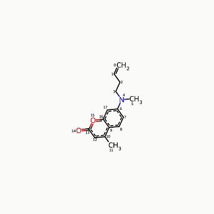 C=CCCN(C)c1ccc2c(C)cc(=O)oc2c1